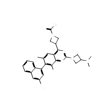 CN(C)C1CN(c2nc(C3CN(C(N)=O)C3)c3cc(Cl)c(-c4cc(O)cc5ccccc45)c(F)c3n2)C1